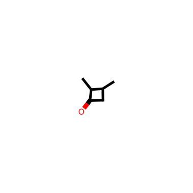 CC1CC(=O)C1C